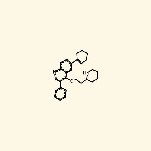 C1=C(c2ccc3ncc(-c4ccccc4)c(OCCC4CCCCN4)c3c2)CCCC1